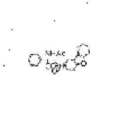 CC(=O)N[C@](CC(=O)c1ccc2oc3ccccc3c2c1)(C(=O)O)c1ccccc1